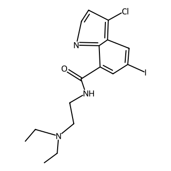 CCN(CC)CCNC(=O)c1cc(I)cc2c(Cl)ccnc12